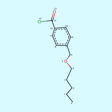 CCCCCOCc1ccc(C(=O)Cl)cc1